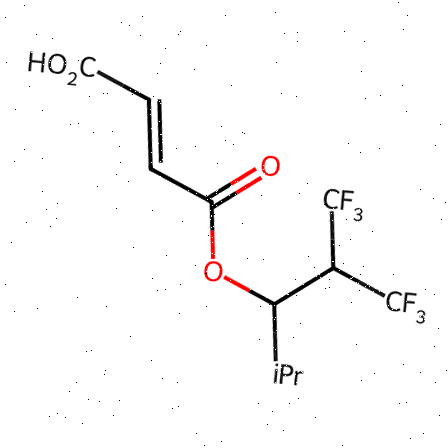 CC(C)C(OC(=O)/C=C/C(=O)O)C(C(F)(F)F)C(F)(F)F